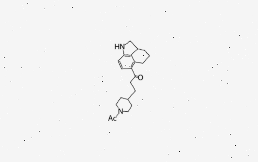 CC(=O)N1CCC(CCC(=O)c2ccc3c4c2CCCC4CN3)CC1